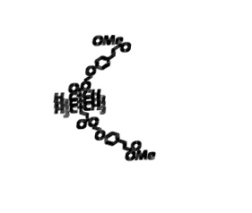 COC(=O)/C=C/c1ccc(OCCOC(=O)CCC(C)(C)C(C)(C)C(C)(C)C(=O)OCCOc2ccc(/C=C/C(=O)OC)cc2)cc1